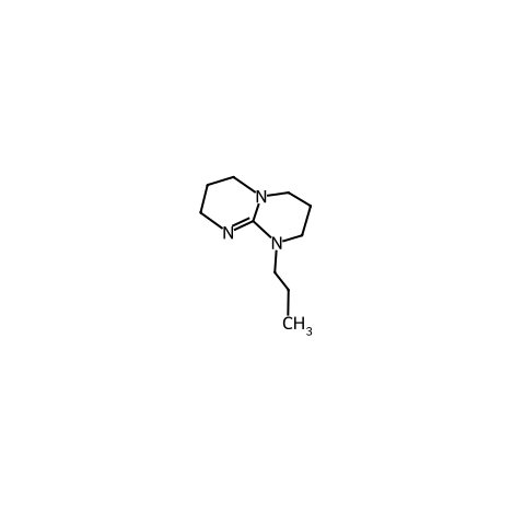 CCCN1CCCN2CCCN=C12